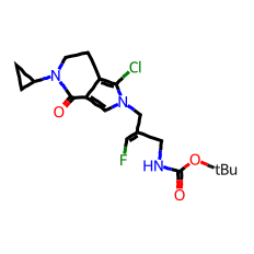 CC(C)(C)OC(=O)NCC(=CF)Cn1cc2c(c1Cl)CCN(C1CC1)C2=O